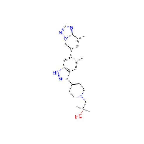 Cc1cc2c(C3CCN(CC(C)(C)O)CC3)n[nH]c2cc1-c1cc(C)c2ncnn2c1